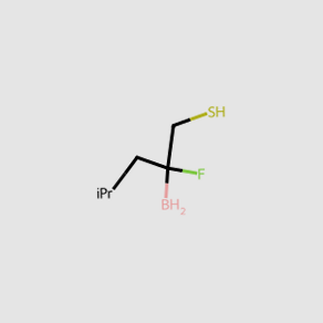 BC(F)(CS)CC(C)C